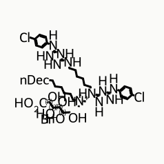 CCCCCCCCCCCCCCCC[N+](C)(C)C.N=C(NCCCCCCNC(=N)NC(=N)Nc1ccc(Cl)cc1)NC(=N)Nc1ccc(Cl)cc1.O=C(O)[C@H](O)[C@@H](O)[C@H](O)[C@H](O)CO.[Br-]